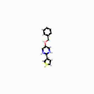 c1ccc(COc2cnc(-c3ccsc3)nc2)cc1